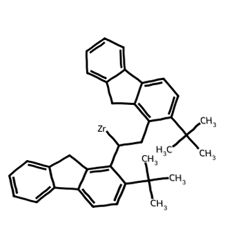 CC(C)(C)c1ccc2c(c1C[CH]([Zr])c1c(C(C)(C)C)ccc3c1Cc1ccccc1-3)Cc1ccccc1-2